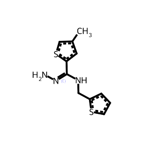 Cc1csc(/C(=N\N)NCc2cccs2)c1